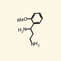 COc1c[c]ccc1C(N)CCN